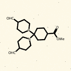 COC(=O)C1CCC(N2CCC(C=O)CC2)(N2CCC(C=O)CC2)CC1